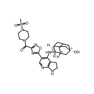 CS(=O)(=O)N1CCN(C(=O)c2noc(-c3cnc4c(c3N[C@H]3[C@@H]5CC6C[C@H]3C[C@@](O)(C6)C5)CCN4)n2)CC1